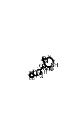 CC(C)CC(NC(=O)OCc1ccccc1)C(=O)NC1Cc2coc(n2)CCCCNC(=O)C1=O